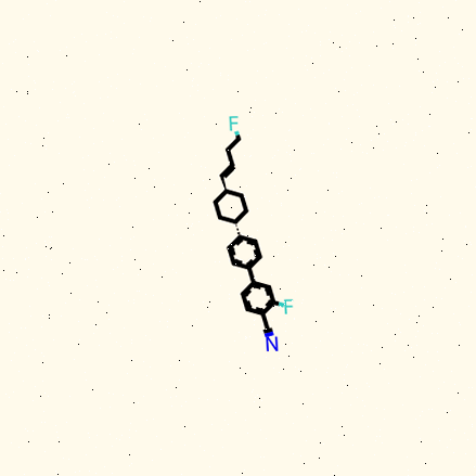 N#Cc1ccc(-c2ccc([C@H]3CC[C@H](C=CCCF)CC3)cc2)cc1F